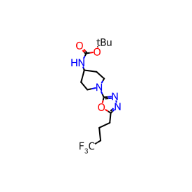 CC(C)(C)OC(=O)NC1CCN(c2nnc(CCCC(F)(F)F)o2)CC1